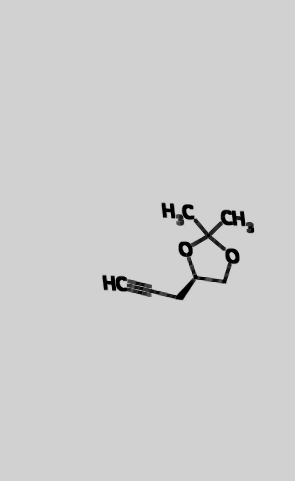 C#CC[C@@H]1COC(C)(C)O1